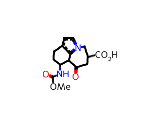 COC(=O)NC1CCc2ccn3c2C1C(=O)CC(C(=O)O)C3